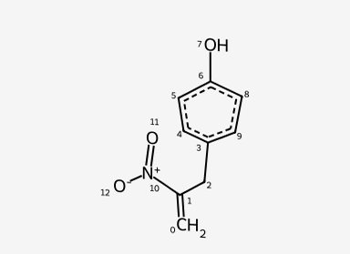 C=C(Cc1ccc(O)cc1)[N+](=O)[O-]